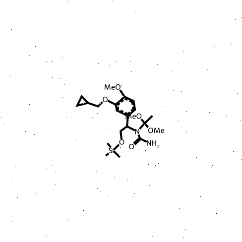 COc1ccc(C(CO[Si](C)(C)C)N(C(N)=O)C(C)(OC)OC)cc1OCC1CC1